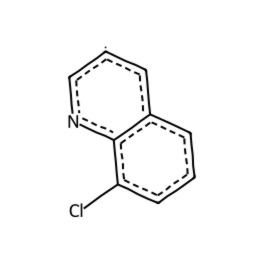 Clc1cccc2c[c]cnc12